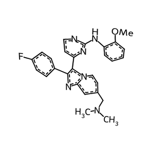 COc1ccccc1Nc1nccc(-c2c(-c3ccc(F)cc3)nc3cc(CN(C)C)ccn23)n1